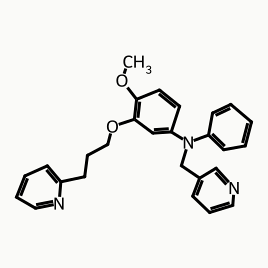 COc1ccc(N(Cc2cccnc2)c2ccccc2)cc1OCCCc1ccccn1